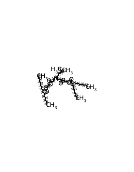 CCCCCCCCC(CCCCCCCC)C(=O)OCCOC(=O)CCN(CCCCN(C)C)CCC(=O)OCCOC(=O)C(CCCCCCCC)CCCCCCCC